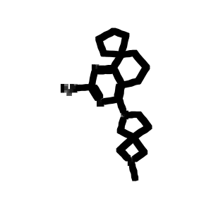 CN1CC2(CCN(c3nc(N)nc4c3CCCC43CCCC3)C2)C1